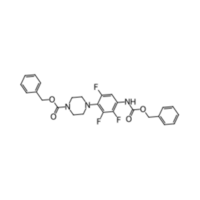 O=C(Nc1cc(F)c(N2CCN(C(=O)OCc3ccccc3)CC2)c(F)c1F)OCc1ccccc1